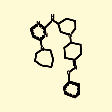 c1ccc(ON=C2CCC(N3CCCC(Nc4nccc(N5CCCCCC5)n4)C3)CC2)cc1